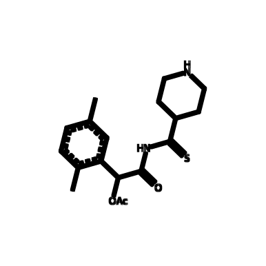 CC(=O)OC(C(=O)NC(=S)C1CCNCC1)c1cc(C)ccc1C